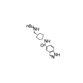 CCCCNC[C@H]1CC[C@H](NC(=O)c2ccc3[nH]ncc3c2)CC1